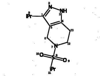 CC(C)c1n[nH]c2c1CN(S(=O)(=O)C(C)C)CC2